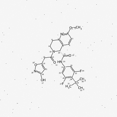 COc1ccc2c(n1)CCN(C(=O)Cc1cc(O)no1)[C@H]2C(=O)Nc1cc(F)c(S(C)(C)C)c(F)c1